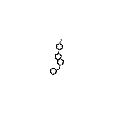 CC[n+]1ccc(-c2ccc3c[n+](Cc4ccccc4)ccc3c2)cc1